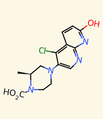 C[C@H]1CN(c2cnc3nc(O)ccc3c2Cl)CCN1C(=O)O